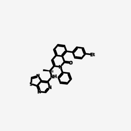 CCc1ccc(-c2cccc3cc([C@H](C)Nc4ncnc5scnc45)n(-c4ccccc4)c(=O)c23)cc1